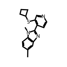 Cc1ccc2c(c1)nc(-c1ccncc1SC1CCC1)n2C